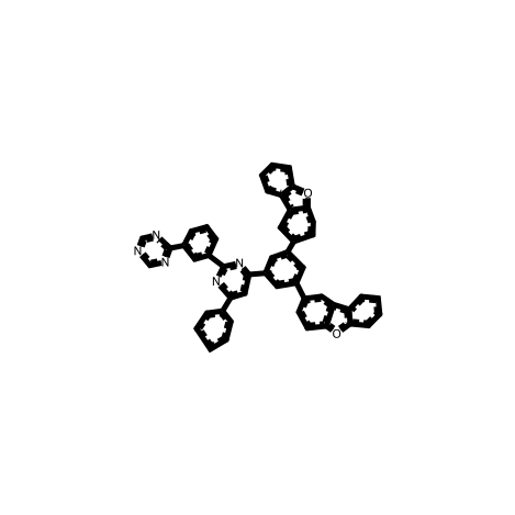 c1ccc(-c2cc(-c3cc(-c4ccc5oc6ccccc6c5c4)cc(-c4ccc5oc6ccccc6c5c4)c3)nc(-c3cccc(-c4ncncn4)c3)n2)cc1